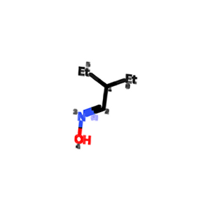 CCC(/C=N/O)CC